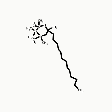 CCCCCCCCCCCCCC1(C)C[Si](C)(C)[Si](C)(C)[Si](C)(C)O1